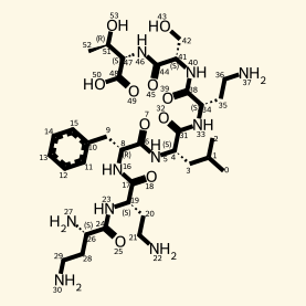 CC(C)C[C@H](NC(=O)[C@@H](Cc1ccccc1)NC(=O)[C@H](CCN)NC(=O)[C@@H](N)CCN)C(=O)N[C@@H](CCN)C(=O)N[C@@H](CO)C(=O)N[C@H](C(=O)O)[C@@H](C)O